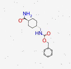 NC(=O)[C@H]1CC[C@H](CNC(=O)OCc2ccccc2)CC1